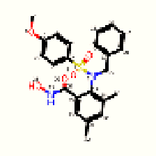 COc1ccc(S(=O)(=O)N(Cc2ccccc2)c2c(C)cc(C)cc2C(=O)NO)cc1